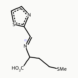 CSCCC(/N=C/c1nccs1)C(=O)O